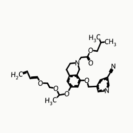 C=C/C=C/OCCOC(C)Oc1cc2c(c(OCc3cncc(C#N)c3)c1)CN(CC(=O)OCC(C)C)CC2